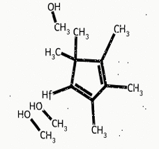 CC1=C(C)C(C)(C)[C]([Hf])=C1C.CO.CO.CO